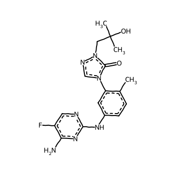 Cc1ccc(Nc2ncc(F)c(N)n2)cc1-n1cnn(CC(C)(C)O)c1=O